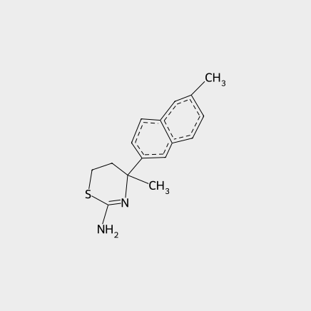 Cc1ccc2cc(C3(C)CCSC(N)=N3)ccc2c1